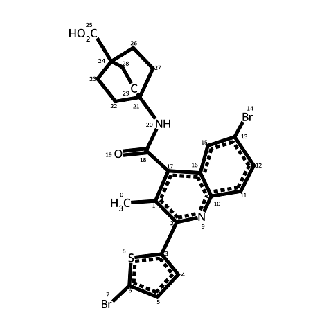 Cc1c(-c2ccc(Br)s2)nc2ccc(Br)cc2c1C(=O)NC12CCC(C(=O)O)(CC1)CC2